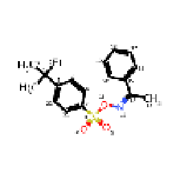 CCC(C)(C)c1ccc(S(=O)(=O)ON=C(C)c2ccccc2)cc1